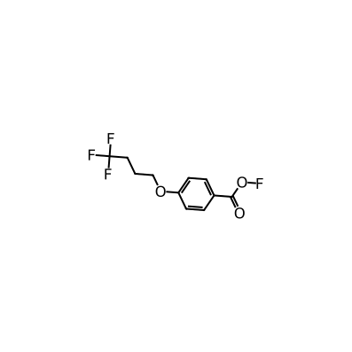 O=C(OF)c1ccc(OCCCC(F)(F)F)cc1